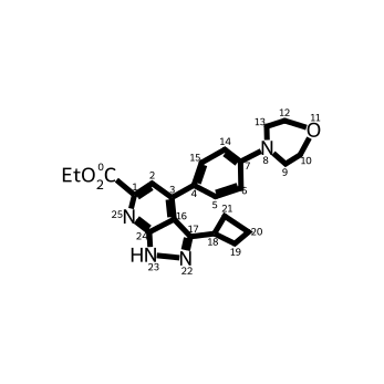 CCOC(=O)c1cc(-c2ccc(N3CCOCC3)cc2)c2c(C3CCC3)n[nH]c2n1